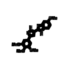 COc1ccc2[nH]c(-c3cc(-c4cc(OC)c(OC)c(OC)c4)n[nH]3)nc2c1